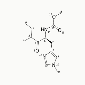 CCC(C)C(=O)[C@H](Cc1cn(C)cn1)NC(=O)OC